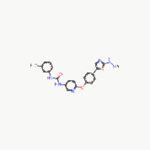 CCCNc1ncc(-c2ccc(Oc3ccc(NC(=O)Nc4cccc(C(F)(F)F)c4)cn3)cc2)s1